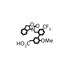 COc1ccc(CC(=O)O)cc1-c1ccc(C(F)(F)F)cc1CN1C(=O)OC2Cc3ccccc3C21